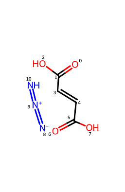 O=C(O)C=CC(=O)O.[N-]=[N+]=N